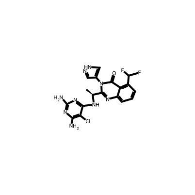 C[C@H](Nc1nc(N)nc(N)c1Cl)c1nc2cccc(C(F)F)c2c(=O)n1-c1cn[nH]c1